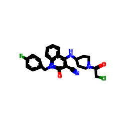 N#Cc1c(NC2CCN(C(=O)CCl)CC2)c2ccccc2n(Cc2ccc(F)cc2)c1=O